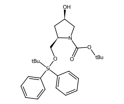 CC(C)(C)OC(=O)N1C[C@H](O)C[C@@H]1CO[Si](c1ccccc1)(c1ccccc1)C(C)(C)C